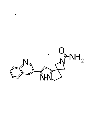 NC(=O)N1CC2(CCn3nc(-c4cnc5ccccc5c4)cc32)C1